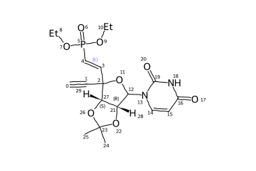 C#CC1(/C=C/P(=O)(OCC)OCC)OC(n2ccc(=O)[nH]c2=O)[C@@H]2OC(C)(C)O[C@@H]21